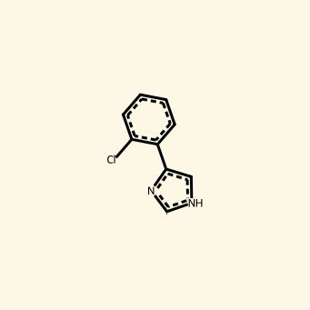 Clc1ccccc1-c1c[nH][c]n1